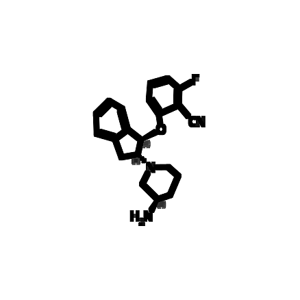 N#Cc1c(F)cccc1O[C@@H]1c2ccccc2C[C@H]1N1CCC[C@@H](N)C1